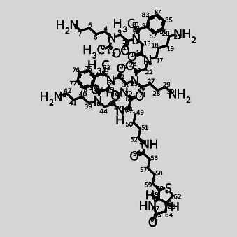 CC(=O)N(CCCCN)CC(=O)N(CC(=O)N(CCCCN)CC(=O)N(CCCCN)CC(=O)N(CC(=O)N(CCCCN)CC(=O)N[C@@H](CCCCNC(=O)CCCCC1SC[C@@H]2CC(=O)N[C@H]12)C(N)=O)[C@@H](C)c1ccccc1)[C@@H](C)c1ccccc1